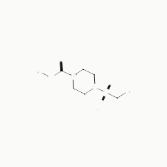 CC(C)(C)OC(=O)N1CCN(S(=O)(=O)CBr)CC1